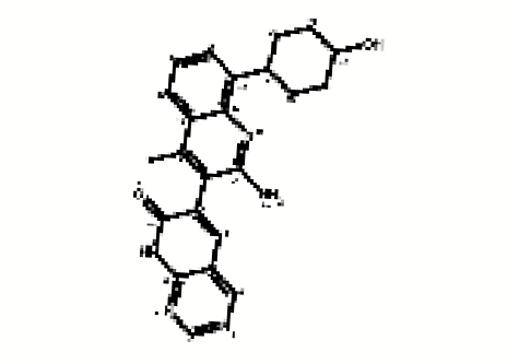 Cc1c(-c2cc3cncnc3[nH]c2=O)c(N)nc2c(C3CCC(O)CC3)cccc12